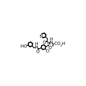 C[C@H](NN(C(=O)Cc1cccnc1)C(=O)c1ccc(C(=O)NCc2cccc(O)c2)cc1Cl)C(=O)O